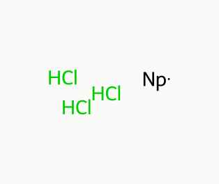 Cl.Cl.Cl.[Np]